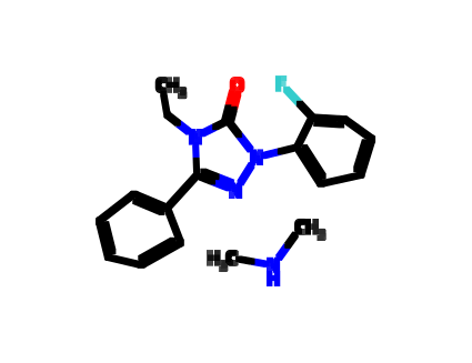 CCn1c(-c2ccccc2)nn(-c2ccccc2F)c1=O.CNC